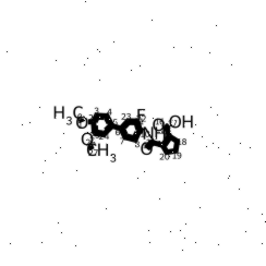 COc1ccc(-c2ccc(NC(=O)C3=C(C(=O)O)CCC3)c(F)c2)cc1OC